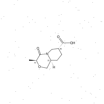 C[C@@H]1OC[C@@H]2CC[C@@H](C(=O)O)CN2C1=O